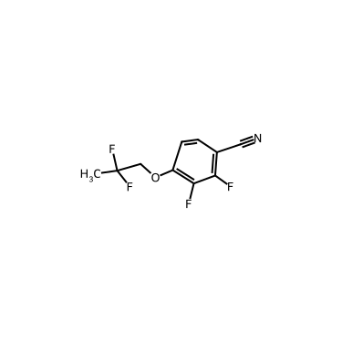 CC(F)(F)COc1ccc(C#N)c(F)c1F